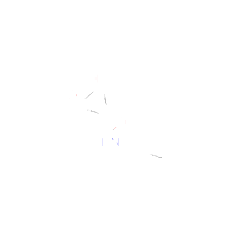 CCC(CC)=C1CCC(NC(=O)Cc2ccc(O)c(OC)c2)CC1